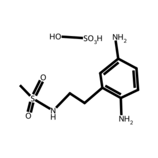 CS(=O)(=O)NCCc1cc(N)ccc1N.O=S(=O)(O)O